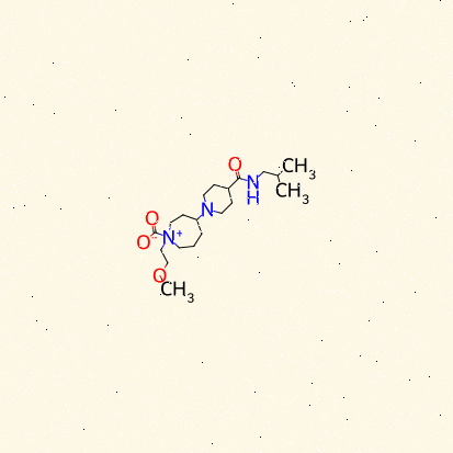 COCC[N+]1(C(=O)[O-])CCCC(N2CCC(C(=O)NCC(C)C)CC2)CC1